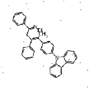 CC/N=C(\C/C(=C(\C)c1ccc(-n2c3ccccc3c3ccccc32)cc1)c1ccccc1)c1ccccc1